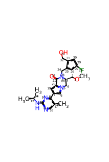 COC[C@H]1Cn2cc(-c3nc(NC(C)C)ncc3C)cc2C(=O)N1Cc1cc(F)ccc1CO